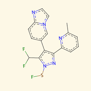 Cc1cccc(-c2nn(SF)c(C(F)F)c2-c2ccc3nccn3c2)n1